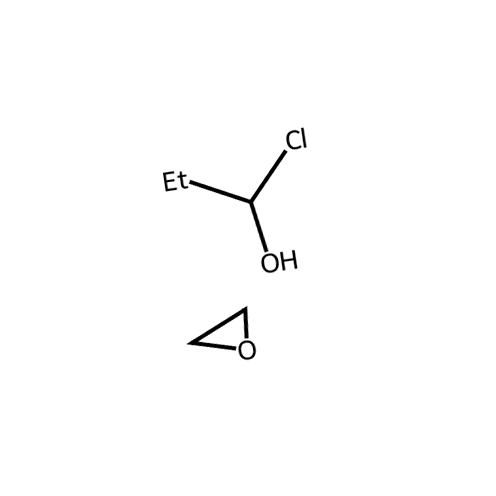 C1CO1.CCC(O)Cl